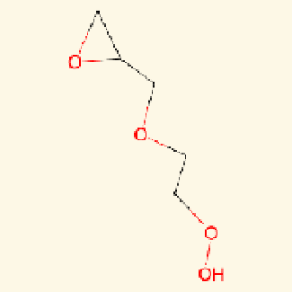 OOCCOCC1CO1